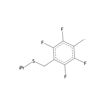 [CH2]c1c(F)c(F)c(CSC(C)C)c(F)c1F